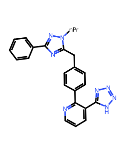 CCCn1nc(-c2ccccc2)nc1Cc1ccc(-c2ncccc2-c2nnn[nH]2)cc1